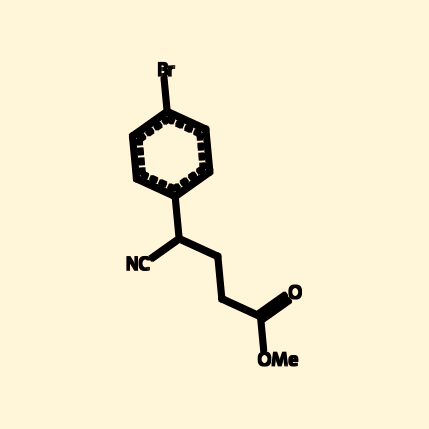 COC(=O)CCC(C#N)c1ccc(Br)cc1